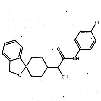 CC(C(=O)Nc1ccc(Cl)cc1)C1CCC2(CC1)OCc1ccccc12